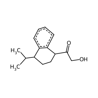 CC(C)C1CCC(C(=O)CO)c2ccccc21